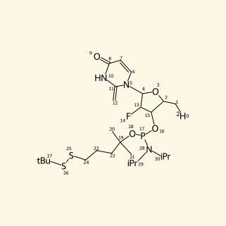 [2H]CC1OC(N2C=CC(=O)NC2=C)C(F)C1OP(OC(C)(C)CCCSSC(C)(C)C)N(C(C)C)C(C)C